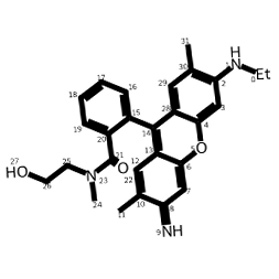 CCNc1cc2oc3cc(=N)c(C)cc-3c(-c3ccccc3C(=O)N(C)CCO)c2cc1C